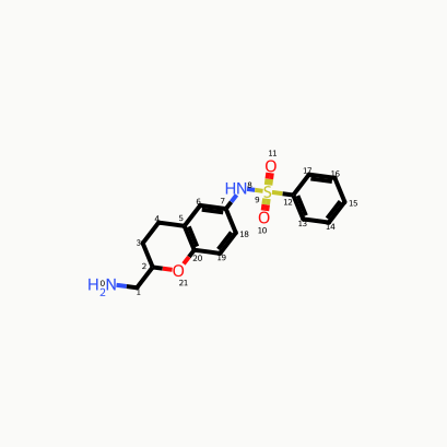 NCC1CCc2cc(NS(=O)(=O)c3ccccc3)ccc2O1